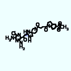 CS(=O)(=O)c1ccc2c(c1)CCN2C(=O)CCC(=O)N1CCC2(CC1)CN/C(=C\C(=O)c1nc(Cl)c(N)nc1N)N2